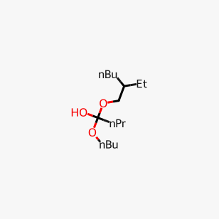 CCCCOC(O)(CCC)OCC(CC)CCCC